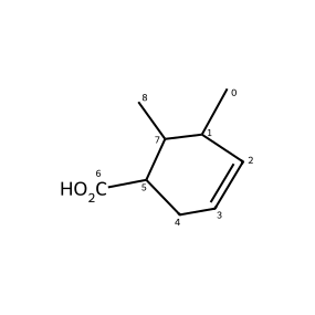 CC1C=CCC(C(=O)O)C1C